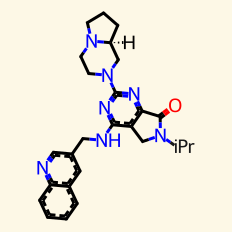 CC(C)N1Cc2c(NCc3cnc4ccccc4c3)nc(N3CCN4CCC[C@H]4C3)nc2C1=O